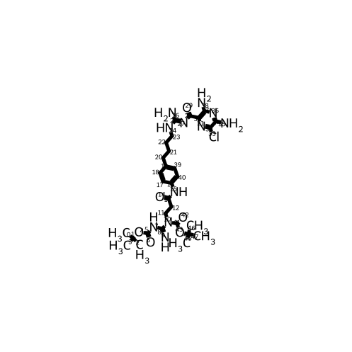 CC(C)(C)OC(=O)NC(=N)N(CCC(=O)Nc1ccc(CCCCNC(N)=NC(=O)c2nc(Cl)c(N)nc2N)cc1)C(=O)OC(C)(C)C